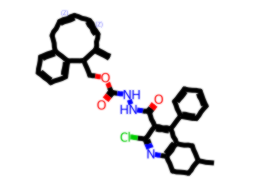 C=C1/C=C\C=C/Cc2ccccc2C1COC(=O)NNC(=O)c1c(Cl)nc2c(c1-c1ccccc1)CC(C)CC2